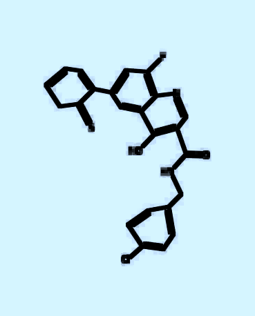 O=C(NCc1ccc(Cl)cc1)c1cnc2c(F)cc(C3=CC=CCC3=S)cc2c1O